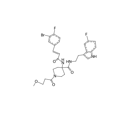 COCCC(=O)N1CCC(NC(=O)C=Cc2ccc(F)c(Br)c2)(C(=O)NCCc2c[nH]c3ccc(F)cc23)CC1